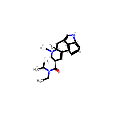 CCN(C(=O)[C@@H]1C=C2c3cccc4[nH]cc(c34)C[C@H]2N(C)C1)C(C)C